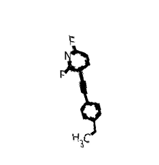 CCc1ccc(C#Cc2ccc(F)nc2F)cc1